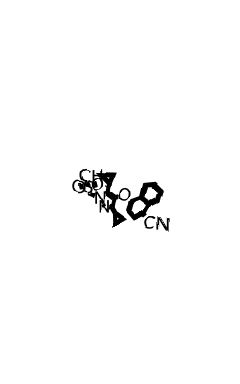 CS(=O)(=O)Cn1nc(C2CC2)c(Oc2ccc(C#N)c3ccccc23)c1C1CC1